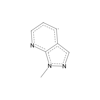 Cn1ncc2[c]ccnc21